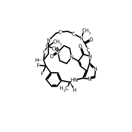 C[C@H]1Nc2ncnc3c2cc(N2CCS(=O)(=O)CC2)c(=O)n3CC(=O)N(C)CCCCN2CC[C@@H](CC2(C)C)C(F)(F)c2cccc1c2